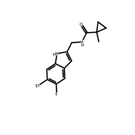 CCc1cc2[nH]c(CNC(=O)C3(C)CC3)cc2cc1F